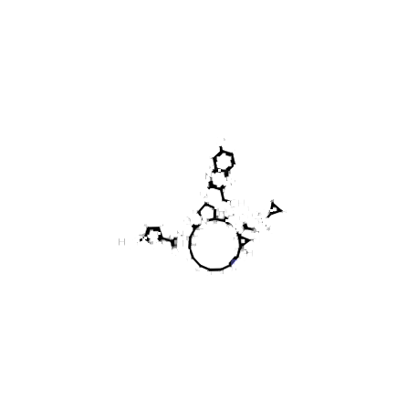 CCc1nc2ccc(F)cc2nc1O[C@@H]1C[C@H]2C(=O)N[C@]3(C(=O)NS(=O)(=O)C4CC4)C[C@H]3/C=C\CCCCC[C@H](NC(=O)c3ccc(C)o3)C(=O)N2C1